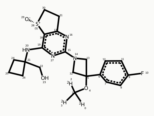 [2H]C([2H])([2H])OC1(c2ccc(F)cc2)CN(c2nc3c(c(NC4(CO)CCC4)n2)[S@+]([O-])CC3)C1